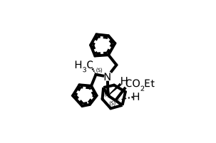 CCOC(=O)[C@H]1C2CCC(CC2)[C@@H]1N(Cc1ccccc1)[C@@H](C)c1ccccc1